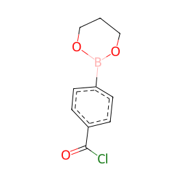 O=C(Cl)c1ccc(B2OCCCO2)cc1